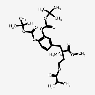 COC(=O)[C@@](N)(CCOC(=O)C(C)C)Cc1ccc(OC(=O)OC(C)(C)C)c(OC(=O)OC(C)(C)C)c1